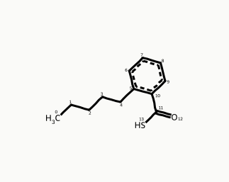 CCCCCc1ccccc1C(=O)S